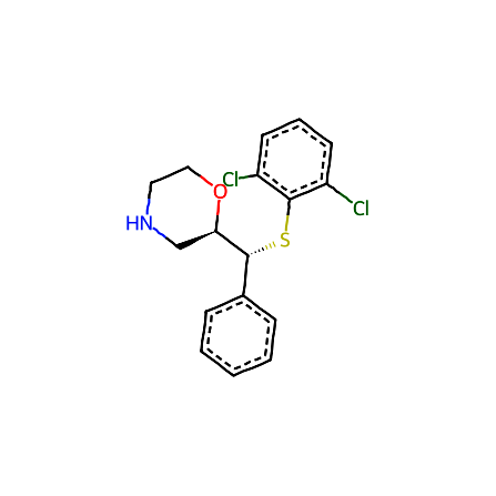 Clc1cccc(Cl)c1S[C@H](c1ccccc1)[C@H]1CNCCO1